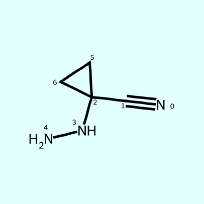 N#CC1(NN)CC1